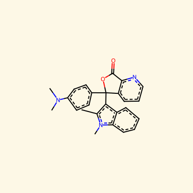 Cc1c(C2(c3ccc(N(C)C)cc3)OC(=O)c3ncccc32)c2ccccc2n1C